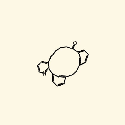 O=C1CCCCc2cccnc2-c2cccc(c2)CCc2cccc1c2